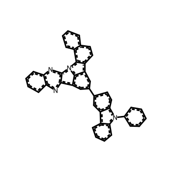 c1ccc(-n2c3ccccc3c3cc(-c4cc5c6ccc7ccccc7c6n6c7nc8ccccc8nc7c(c4)c56)ccc32)cc1